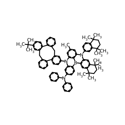 Cc1cc2c3c(c1)N(c1ccc4c(c1)C(C)(C)CCC4(C)C)c1cc4c(cc1B3c1ccc(N(c3ccccc3)c3ccccc3)cc1N2c1ccc2c(c1)Cc1ccccc1-c1ccc(C(C)(C)C)cc1Cc1ccccc1-2)C(C)(C)CCC4(C)C